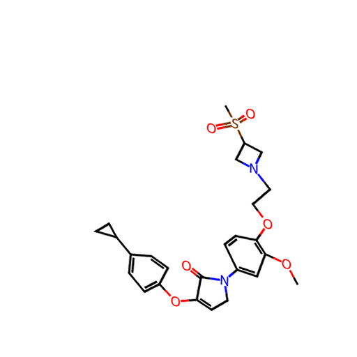 COc1cc(N2CC=C(Oc3ccc(C4CC4)cc3)C2=O)ccc1OCCN1CC(S(C)(=O)=O)C1